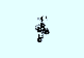 C[C@H](O)COc1ccc(C(N)=O)c(-c2c(Cl)c(F)cc3c2[C@H](C)[C@@](CNCc2ccccc2)(c2ccccc2)O3)c1F